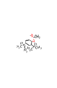 CCC(C)(C)c1ccc(OC(C)[O])c(C(C)(C)CC)c1